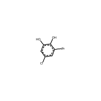 CC(C)c1cc(Cl)cc(O)c1O